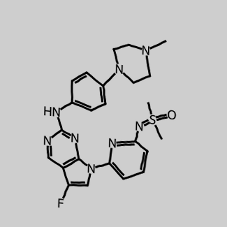 CN1CCN(c2ccc(Nc3ncc4c(F)cn(-c5cccc(N=S(C)(C)=O)n5)c4n3)cc2)CC1